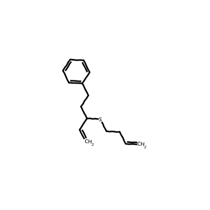 C=CCCSC(C=C)CCc1ccccc1